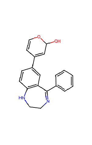 OC1C=C(c2ccc3c(c2)C(c2ccccc2)=NCCN3)C=CO1